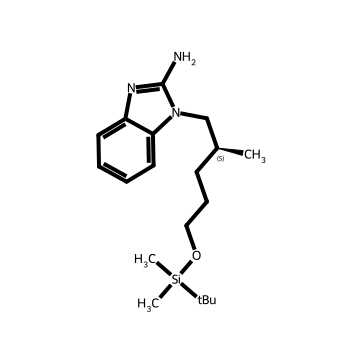 C[C@@H](CCCO[Si](C)(C)C(C)(C)C)Cn1c(N)nc2ccccc21